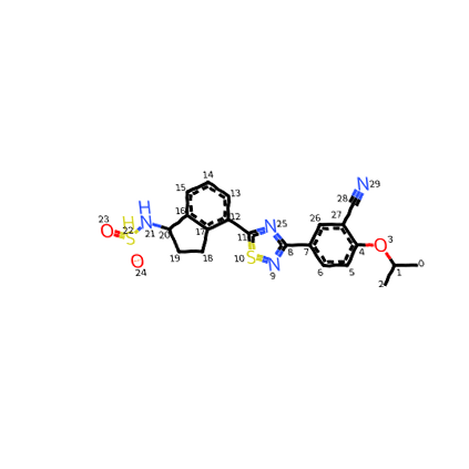 CC(C)Oc1ccc(-c2nsc(-c3cccc4c3CCC4N[SH](=O)=O)n2)cc1C#N